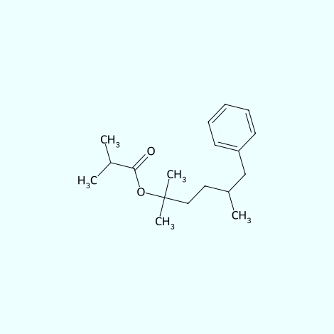 CC(CCC(C)(C)OC(=O)C(C)C)Cc1ccccc1